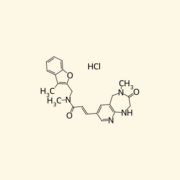 Cc1c(CN(C)C(=O)C=Cc2cnc3c(c2)CN(C)C(=O)CN3)oc2ccccc12.Cl